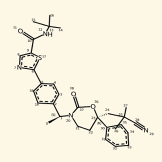 C[C@@H](c1ccc(-c2ncc(C(=O)NC(C)(C)C)s2)cc1)N1CC[C@](CC(C)(C)C#N)(c2ccccc2)OC1=O